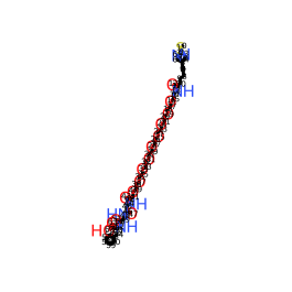 CSc1ncc(C#CCCCC(=O)NCCOCCOCCOCCOCCOCCOCCOCCOCCOCC(=O)NCC(=O)NCC(=O)N[C@@H](Cc2ccccc2)C(=O)O)cn1